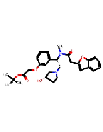 CN(C(=O)Cc1cc2ccccc2o1)[C@H](CN1CC[C@H](O)C1)c1cccc(OCC(=O)OC(C)(C)C)c1